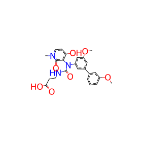 COc1cccc(-c2cc(OC)cc(N(C(=O)NCCC(=O)O)c3c(O)ccn(C)c3=O)c2)c1